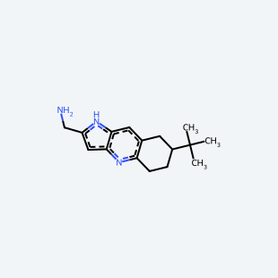 CC(C)(C)C1CCc2nc3cc(CN)[nH]c3cc2C1